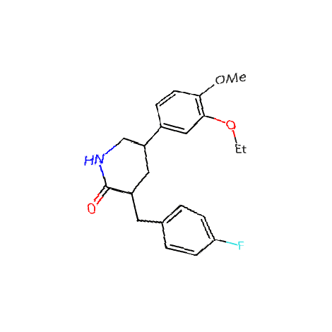 CCOc1cc(C2CNC(=O)C(Cc3ccc(F)cc3)C2)ccc1OC